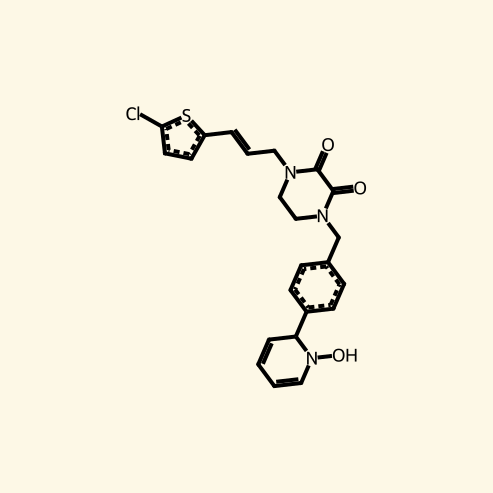 O=C1C(=O)N(Cc2ccc(C3C=CC=CN3O)cc2)CCN1CC=Cc1ccc(Cl)s1